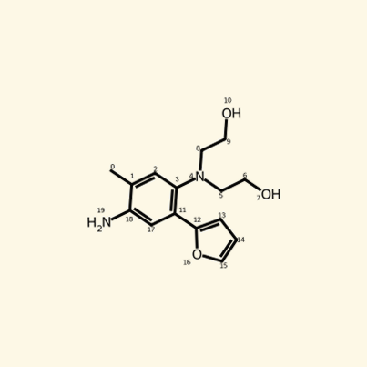 Cc1cc(N(CCO)CCO)c(-c2ccco2)cc1N